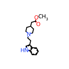 COC(=O)CC1CCN(CCc2c[nH]c3ccccc23)CC1